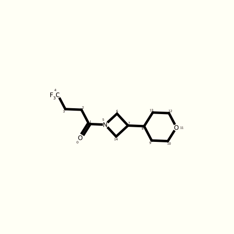 O=C(CCC(F)(F)F)N1CC(C2CCOCC2)C1